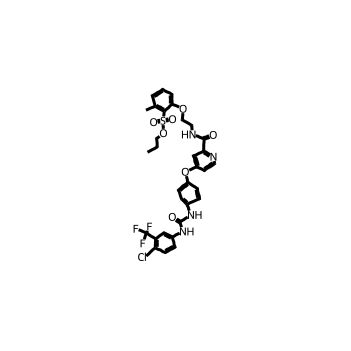 CCCOS(=O)(=O)c1c(C)cccc1OCCNC(=O)c1cc(Oc2ccc(NC(=O)Nc3ccc(Cl)c(C(F)(F)F)c3)cc2)ccn1